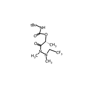 C[C@@H](OC(=O)NC(C)(C)C)C(=O)N(C)N(C)CC(F)(F)F